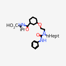 CCCCCCCN(CCOC1CCCC(C(=O)N[C@H](C(=O)O)C(C)C)C1)C(=O)Nc1ccccc1